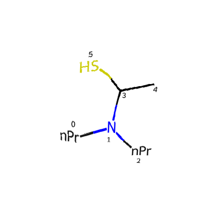 CCCN(CCC)C(C)S